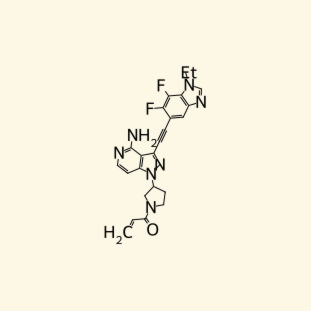 C=CC(=O)N1CCC(n2nc(C#Cc3cc4ncn(CC)c4c(F)c3F)c3c(N)nccc32)C1